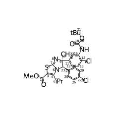 COC(=O)C1=C(C(C)C)N2C(=N[C@@](C)(c3ccc(Cl)c(NC(=O)OC(C)(C)C)c3)[C@H]2c2ccc(Cl)cc2)S1